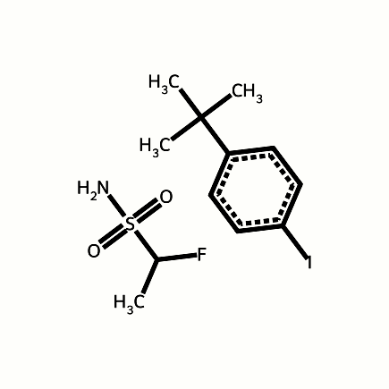 CC(C)(C)c1ccc(I)cc1.CC(F)S(N)(=O)=O